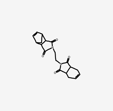 O=C1C2CC=CCC2C(=O)N1CCN1C(=O)C2C3C=CC(C3)C2C1=O